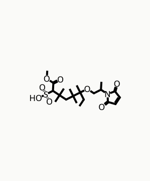 CCC(C)(OCC(C)N1C(=O)C=CC1=O)C(C)(C)CC(C)(C)C(C(=O)OC)S(=O)(=O)O